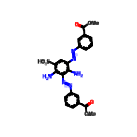 COC(=O)c1cccc(/N=N/c2cc(S(=O)(=O)O)c(N)c(/N=N/c3cccc(C(=O)OC)c3)c2N)c1